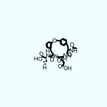 CC(=O)NC1Cc2ccc(cc2)Oc2cccc(c2)CC(C(=O)N[C@@H](CS)C(=O)O)NC(=O)[C@H](CCC(=O)O)NC1=O